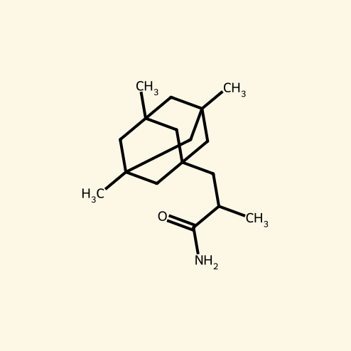 CC(CC12CC3(C)CC(C)(CC(C)(C3)C1)C2)C(N)=O